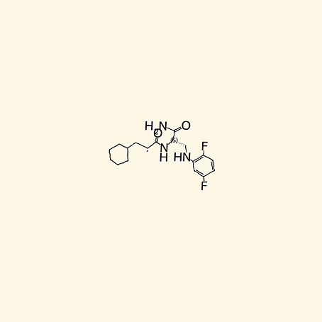 NC(=O)[C@H](CNc1cc(F)ccc1F)NC(=O)[CH]CC1CCCCC1